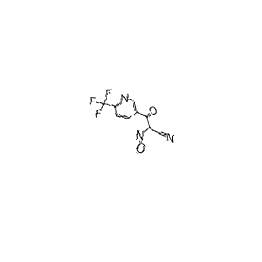 N#CC(N=O)C(=O)c1ccc(C(F)(F)F)nc1